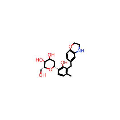 Cc1ccc([C@H]2CC(O)[C@H](O)[C@@H](CO)O2)c(O)c1Cc1ccc2c(c1)NCCO2